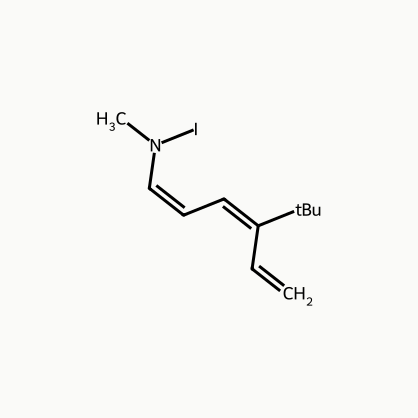 C=C/C(=C\C=C/N(C)I)C(C)(C)C